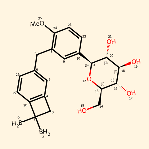 BC1(B)Cc2cc(Cc3cc([C@@H]4O[C@H](CO)[C@@H](O)[C@H](O)[C@H]4O)ccc3OC)ccc21